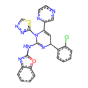 Clc1ccccc1C1C=C(c2cnccn2)N(c2nncs2)C(Nc2nc3ccccc3o2)=N1